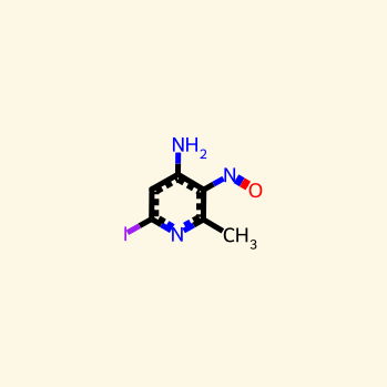 Cc1nc(I)cc(N)c1N=O